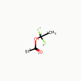 CCC(=O)OC(C)(F)F